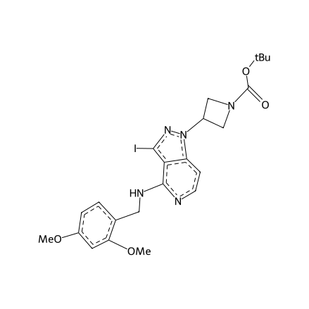 COc1ccc(CNc2nccc3c2c(I)nn3C2CN(C(=O)OC(C)(C)C)C2)c(OC)c1